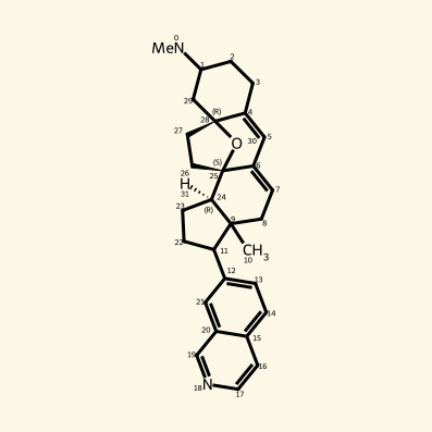 CNC1CCC2=CC3=CCC4(C)C(c5ccc6ccncc6c5)CC[C@H]4[C@@]34CC[C@]2(C1)O4